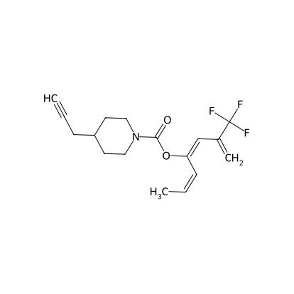 C#CCC1CCN(C(=O)OC(/C=C\C)=C/C(=C)C(F)(F)F)CC1